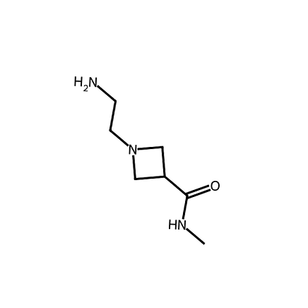 CNC(=O)C1CN(CCN)C1